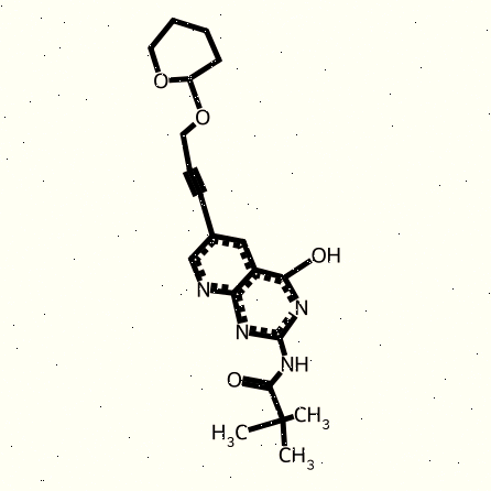 CC(C)(C)C(=O)Nc1nc(O)c2cc(C#CCOC3CCCCO3)cnc2n1